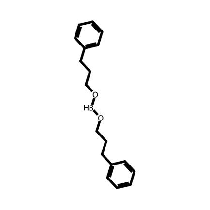 B(OCCCc1ccccc1)OCCCc1ccccc1